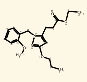 CCCOc1cc(CCC(=O)OCC)n(Cc2ccccc2OC)n1